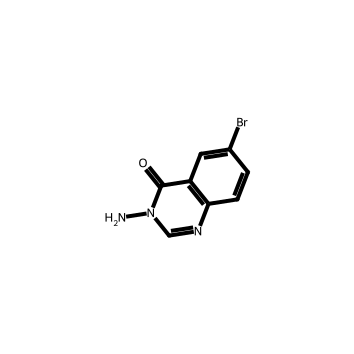 Nn1cnc2ccc(Br)cc2c1=O